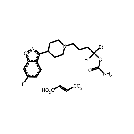 CCC(CC)(CCCN1CCC(c2noc3cc(F)ccc23)CC1)OC(N)=O.O=C(O)C=CC(=O)O